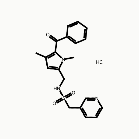 Cc1cc(CNS(=O)(=O)Cc2cccnc2)n(C)c1C(=O)c1ccccc1.Cl